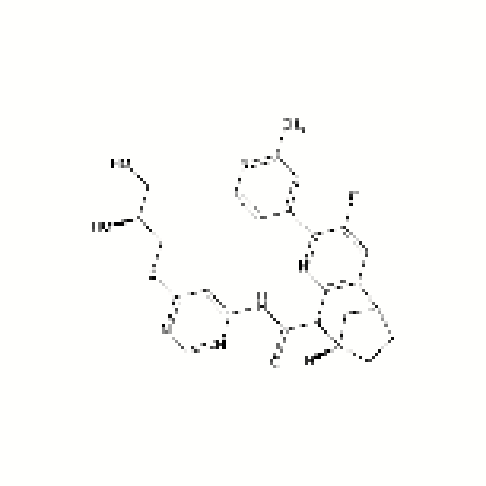 Cc1cc(-c2nc3c(cc2Cl)N2CC[C@@H](C2)N3C(=O)Nc2cc(OC[C@@H](O)CO)ncn2)ccn1